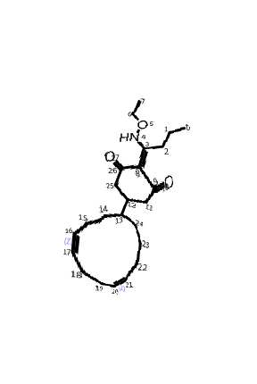 CCCC(NOCC)=C1C(=O)CC(C2CC/C=C\CC/C=C\CCC2)CC1=O